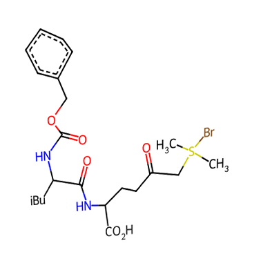 CCC(C)C(NC(=O)OCc1ccccc1)C(=O)NC(CCC(=O)CS(C)(C)Br)C(=O)O